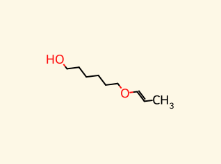 CC=COCCCCCCO